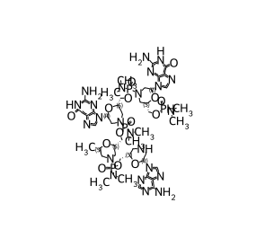 C[C@H]1CN(P(=O)(OC[C@@H]2CNC[C@H](n3cnc4c(N)ncnc43)O2)N(C)C)C[C@@H](COP(=O)(N(C)C)N2C[C@@H](COP(=O)(N(C)C)N3C[C@@H](CO[PH](=O)N(C)C)O[C@@H](n4cnc5c(=O)[nH]c(N)nc54)C3)O[C@@H](n3cnc4c(=O)[nH]c(N)nc43)C2)O1